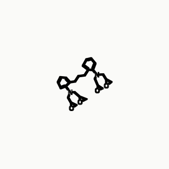 c1ccc(N(CC2CO2)CC2CO2)c(CCCc2ccccc2N(CC2CO2)CC2CO2)c1